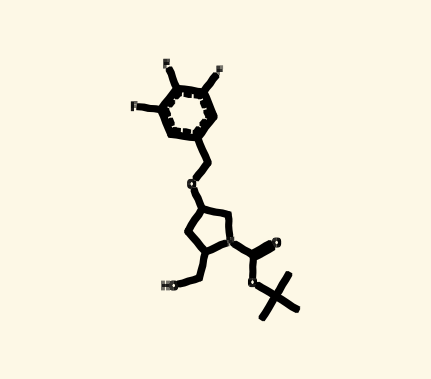 CC(C)(C)OC(=O)N1CC(OCc2cc(F)c(F)c(F)c2)CC1CO